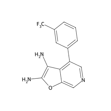 Nc1oc2cncc(-c3cccc(C(F)(F)F)c3)c2c1N